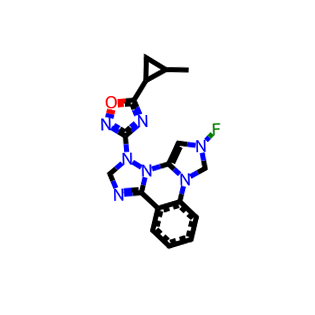 CC1CC1c1nc(N2CN=C3c4ccccc4N4CN(F)C=C4N32)no1